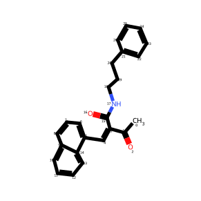 CC(=O)C(=Cc1cccc2ccccc12)C(=O)NCCCc1ccccc1